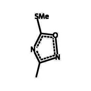 [CH2]Sc1nc(C)no1